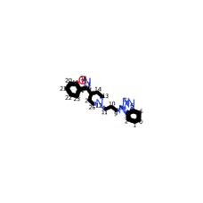 c1ccc2c(c1)nnn2CCCN1CCC(c2noc3ccccc23)CC1